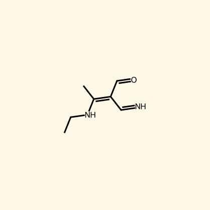 CCN/C(C)=C(\C=N)C=O